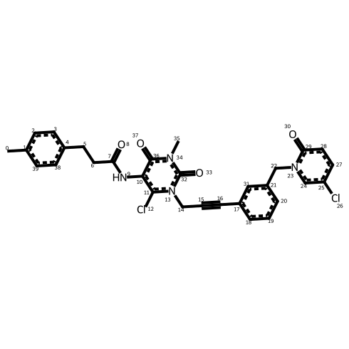 Cc1ccc(CCC(=O)Nc2c(Cl)n(CC#Cc3cccc(Cn4cc(Cl)ccc4=O)c3)c(=O)n(C)c2=O)cc1